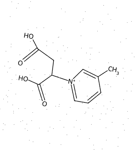 Cc1ccc[n+](C(CC(=O)O)C(=O)O)c1